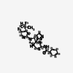 CC(C)(F)c1nc(N2C[C@H]3CSC(NC(=O)c4ccccc4)=N[C@@]3(c3ccns3)C2)ncc1F